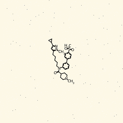 CN1CCC(C(=O)N(CCCCCc2cc(C3CC3)nn2C)c2cccc(-c3ccc(S(C)(=O)=O)cc3)c2)CC1